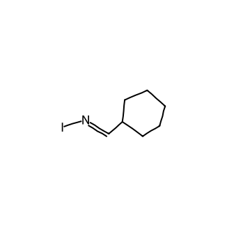 I/N=C/C1CCCCC1